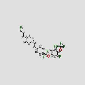 FCCCC1CCC(/C=C/C2CCC(C(F)(F)Oc3cc(F)c(OC(F)(F)F)c(F)c3)CC2)CC1